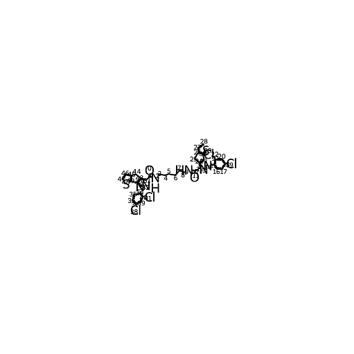 O=C(NCCCCCCNC(=O)c1nn(-c2ccc(Cl)cc2Cl)c2c1Cc1ccsc1-2)c1nn(-c2ccc(Cl)cc2Cl)c2c1Cc1ccsc1-2